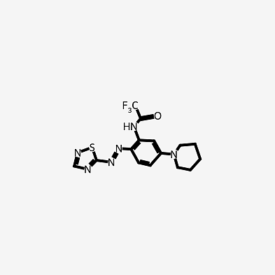 O=C(Nc1cc(N2CCCCC2)ccc1N=Nc1ncns1)C(F)(F)F